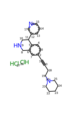 C(#Cc1ccc2c(c1)CNCC2c1cccnc1)CCN1CCCCC1.Cl.Cl